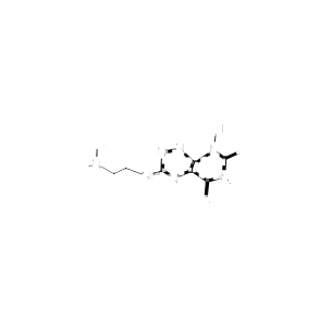 CCN(CC)CCNc1nnc2c(n1)c(=O)n(C)c(=O)n2C